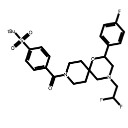 CC(C)(C)S(=O)(=O)c1ccc(C(=O)N2CCC3(CC2)CN(CC(F)F)CC(c2ccc(F)cc2)O3)cc1